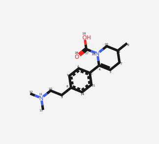 CC1CC=C(c2ccc(CCN(C)C)cc2)N(C(=O)O)C1